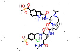 CC(C)N1CC[C@H]2CC[C@@H](C(=O)N[C@@H](CCC(N)=O)C(=O)NCc3ccc(S(C)(=O)=O)cc3Cl)N2C(=O)[C@@H](NC(=O)c2cc3cc(C(=O)P(C)(=O)O)ccc3[nH]2)C1